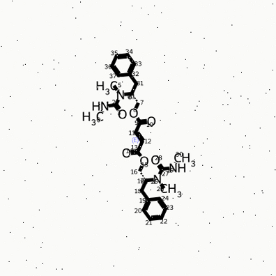 CNC(=O)N(C)[C@@H](COC(=O)/C=C/C(=O)OC[C@@H](Cc1ccccc1)N(C)C(=O)NC)Cc1ccccc1